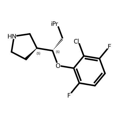 CC(C)C[C@H](Oc1c(F)ccc(F)c1Cl)[C@H]1CCNC1